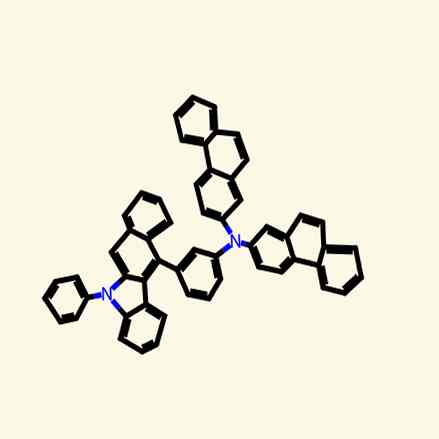 c1ccc(-n2c3ccccc3c3c(-c4cccc(N(c5ccc6c(ccc7ccccc76)c5)c5ccc6c(ccc7ccccc76)c5)c4)c4ccccc4cc32)cc1